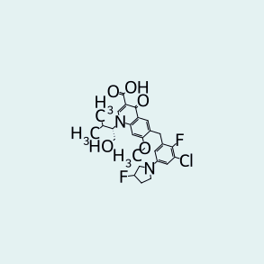 COc1cc2c(cc1Cc1cc(N3CCC(F)C3)cc(Cl)c1F)c(=O)c(C(=O)O)cn2[C@H](CO)C(C)C